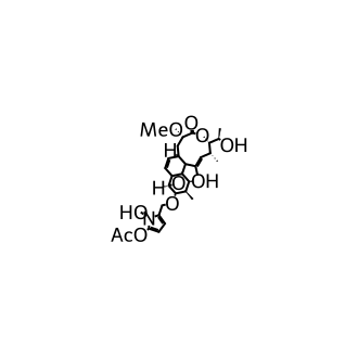 CO[C@H]1C[C@H]2C=CC3C4[C@H](O)[C@@H](C)[C@@H](OCc5ccc(OC(C)=O)n5O)[C@@H]3O[C@]42/C(C)=C/[C@@H](C)[C@@H]([C@@H](C)O)OC1=O